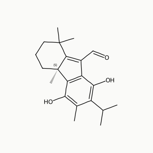 Cc1c(O)c2c(c(O)c1C(C)C)C(C=O)=C1C(C)(C)CCC[C@@]12C